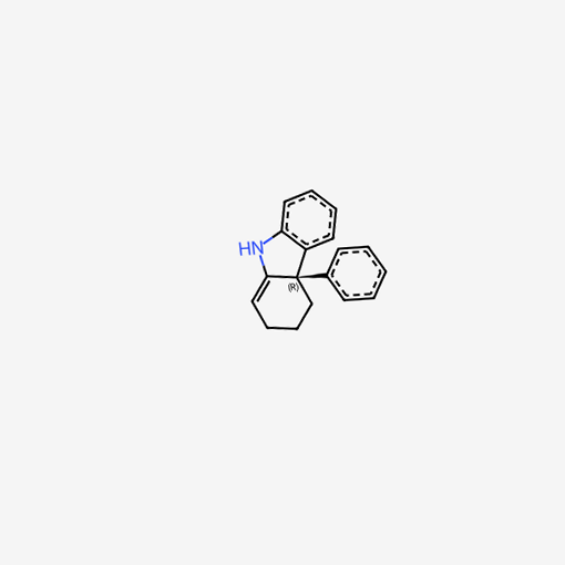 C1=C2Nc3ccccc3[C@]2(c2ccccc2)CCC1